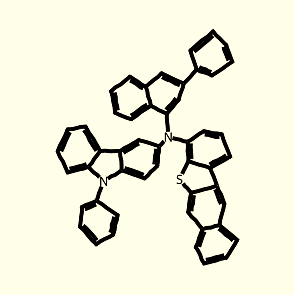 c1ccc(-c2cc(N(c3ccc4c(c3)c3ccccc3n4-c3ccccc3)c3cccc4c3sc3cc5ccccc5cc34)c3ccccc3c2)cc1